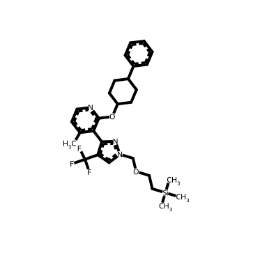 Cc1ccnc(OC2CCC(c3ccccc3)CC2)c1-c1nn(COCC[Si](C)(C)C)cc1C(F)(F)F